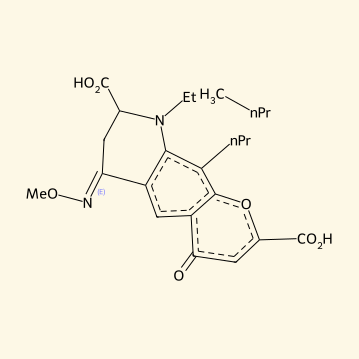 CCCC.CCCc1c2c(cc3c(=O)cc(C(=O)O)oc13)/C(=N/OC)CC(C(=O)O)N2CC